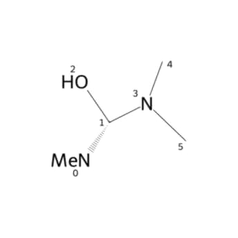 CN[C@H](O)N(C)C